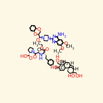 CCOC(=O)[C@H](CCc1ccccc1)N[C@@H](C)C(=O)N1CCC[C@H]1C(=O)O.COc1cc2nc(N3CCN(C(=O)C4COc5ccccc5O4)CC3)nc(N)c2cc1OC.C[C@@]1(CO)[C@H](O)CC[C@@]2(C)[C@H]1CC[C@H]1C[C@@H]3C[C@@]12CC[C@]3(O)CO